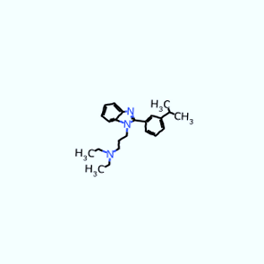 CCN(CC)CCCn1c(-c2cccc(C(C)C)c2)nc2ccccc21